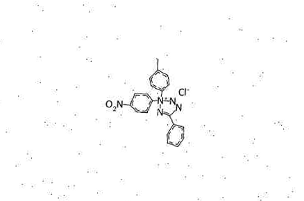 O=[N+]([O-])c1ccc([N+]2(c3ccc(I)cc3)N=NC(c3ccccc3)=N2)cc1.[Cl-]